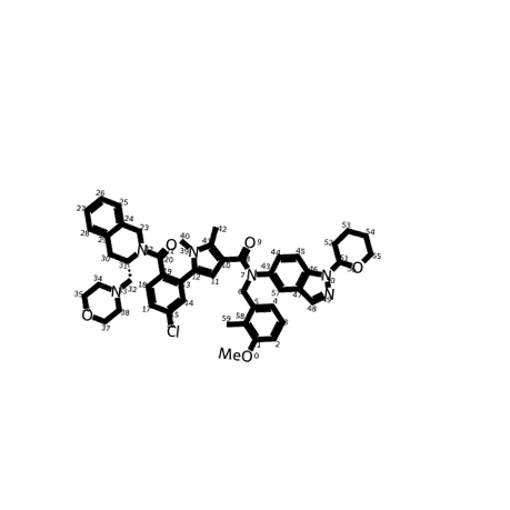 COc1cccc(CN(C(=O)c2cc(-c3cc(Cl)ccc3C(=O)N3Cc4ccccc4C[C@H]3CN3CCOCC3)n(C)c2C)c2ccc3c(cnn3C3CCCCO3)c2)c1C